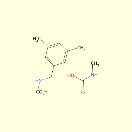 CNC(=O)O.Cc1cc(C)cc(CNC(=O)O)c1